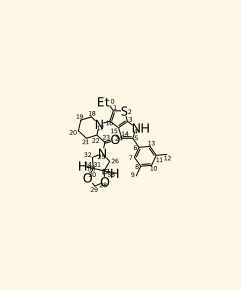 CCc1sc2[nH]c(-c3cc(C)cc(C)c3)cc2c1N1CCCCC1C(=O)N1C[C@@H]2OCO[C@@H]2C1